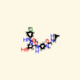 CN(C(=O)CNCC1CC1)c1ccc(NC(=O)[C@H]2C[C@@H](O)CN2C(=O)Nc2ccc(Cl)cc2)cc1